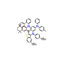 Cc1ccc(N(c2ccccc2)c2cc3c4c(c2)N(c2ccc(C(C)(C)C)cc2)c2c(sc5ccc(C(C)(C)C)cc25)B4c2cc4c(cc2N3c2ccccc2-c2ccccc2)C(C)(C)CCC4(C)C)cc1